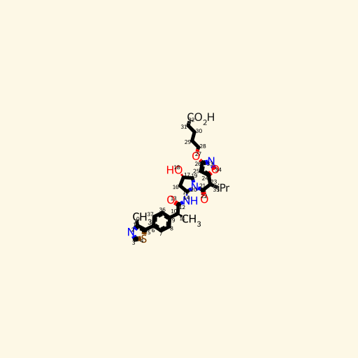 Cc1ncsc1-c1ccc([C@H](C)C(=O)N[C@@H]2C[C@@H](O)CN2C(=O)C(c2cc(OCCCCC(=O)O)no2)C(C)C)cc1